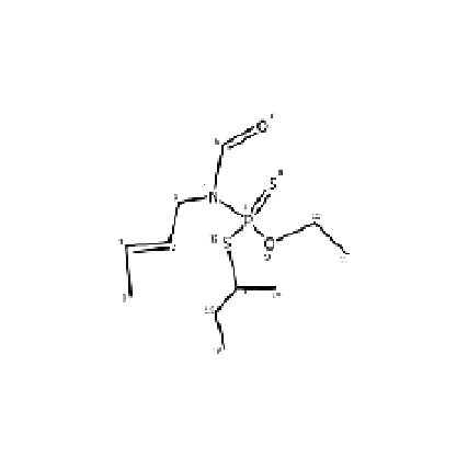 CC=CCN(C=O)P(=S)(OCC)SC(C)CC